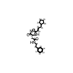 NC(=O)[C@@H](CC(=O)NCCc1ccccc1)NC(=O)/C=C/CC1CCCC1